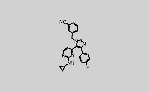 N#Cc1cccc(Cn2cnc(-c3ccc(F)cc3)c2-c2ccnc(NC3CC3)n2)c1